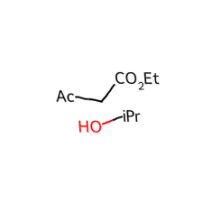 CC(C)O.CCOC(=O)CC(C)=O